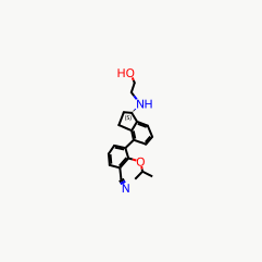 CC(C)Oc1c(C#N)cccc1-c1cccc2c1CC[C@@H]2NCCO